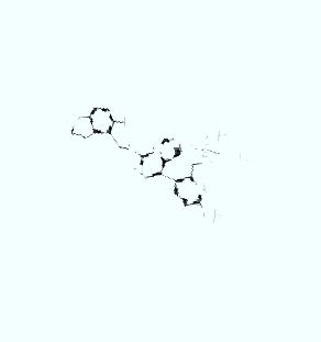 Cc1ccc(-c2cnc(NCc3c(F)ccc4c3CCO4)n3cncc23)c(CO[Si](C)(C)C(C)(C)C)n1